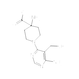 CCc1c(N)ncnc1N1CCC(N)(C(=O)O)CC1